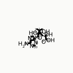 CC1(C)[C@]2(O)[C@@H](C(O)C(=O)O)O[C@@H](n3cnc4c(N)ncnc43)[C@]12O